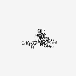 C=C(C=O)CNc1ccc(CCn2c(=O)c(-c3c(Cl)c(OC)cc(OC)c3Cl)cc3cnc(NCCO)nc32)cc1